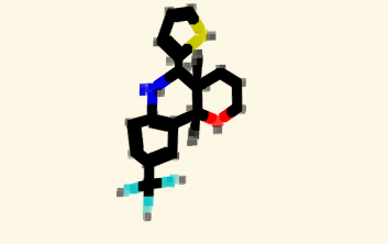 FC(F)(F)c1ccc2c(c1)[C@H]1OCCC[C@H]1[C@H](c1cccs1)N2